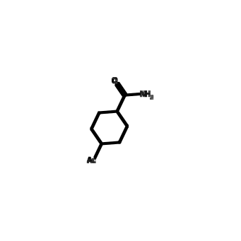 CC(=O)C1CCC(C(N)=O)CC1